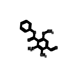 COc1cc(C=O)c(C)c(C)c1C(=O)Oc1ccccc1